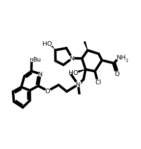 CCCCc1cc2ccccc2c(OCC[N+](C)(C)C[C@@]2(O)C(Cl)C(C(N)=O)C[C@H](C)C2N2CC[C@H](O)C2)n1